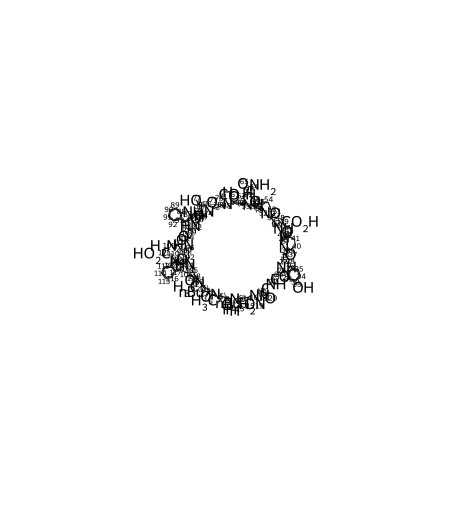 CCCC[C@H]1C(=O)N(C)[C@@H](CCCC)C(=O)N[C@@H](CC(C)C)C(=O)N[C@H](C(N)=O)CNCC(=O)N[C@@H](Cc2ccc(O)cc2)C(=O)N2CCCC[C@H]2C(=O)N[C@@H](CC(=O)O)C(=O)N2CCC[C@H]2C(=O)N[C@@H](CCC(N)=O)C(=O)N[C@@H](CC(=O)O)C(=O)N2C[C@H](O)C[C@H]2C(=O)N[C@@H](Cc2c[nH]c3ccccc23)C(=O)N[C@@H](CC(N)=O)C(=O)N[C@@H](Cc2cn(CC(=O)O)c3ccccc23)C(=O)N1C